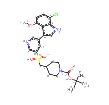 COc1ccc(Cl)c2[nH]cc(-c3cncc(S(=O)(=O)CC4CCN(C(=O)OC(C)(C)C)CC4)c3)c12